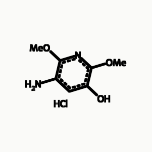 COc1nc(OC)c(O)cc1N.Cl